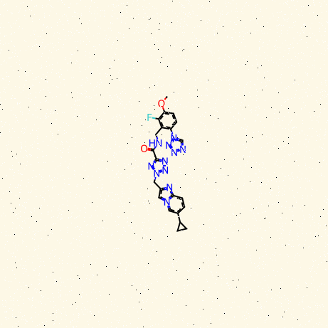 COc1ccc(-n2cnnn2)c(CNC(=O)c2nnn(Cc3cn4cc(C5CC5)ccc4n3)n2)c1F